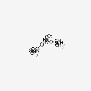 CCOc1nc(-c2ccc(-c3ccc(OS(=O)(=O)C(F)(F)F)nc3)cc2)nn1COCC[Si](C)(C)C